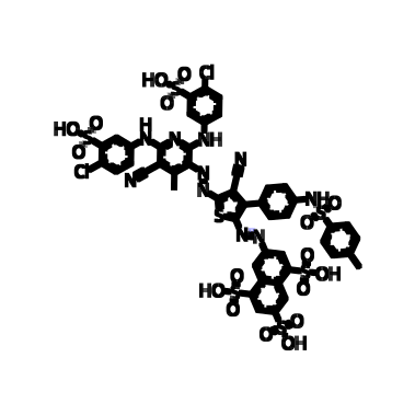 Cc1ccc(S(=O)(=O)Nc2ccc(-c3c(/N=N/c4cc(S(=O)(=O)O)c5cc(S(=O)(=O)O)cc(S(=O)(=O)O)c5c4)sc(N=Nc4c(Nc5ccc(Cl)c(S(=O)(=O)O)c5)nc(Nc5ccc(Cl)c(S(=O)(=O)O)c5)c(C#N)c4C)c3C#N)cc2)cc1